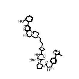 Cc1ncsc1-c1ccc([C@H](C)NC(=O)[C@@H]2CCCN2C(=O)[C@@H](NC(=O)C2CN(CCCN3CCN4c5cc(-c6ccccc6O)nnc5NCC4C3)C2)C(C)(C)C)cc1